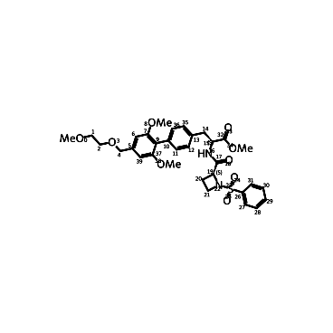 COCCOCc1cc(OC)c(-c2ccc(C[C@H](NC(=O)[C@@H]3CCN3S(=O)(=O)c3ccccc3)C(=O)OC)cc2)c(OC)c1